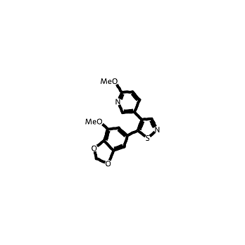 COc1ccc(-c2cnsc2-c2cc(OC)c3c(c2)OCO3)cn1